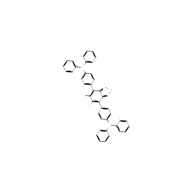 Nc1c(N)c(-c2ccc(N(c3ccccc3)c3ccccc3)cc2)c2n[nH]nc2c1-c1ccc(N(c2ccccc2)c2ccccc2)cc1